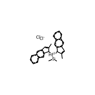 CC1=Cc2cc3ccccc3cc2[CH]1[Hf+2]([CH]1C(C)=Cc2cc3ccccc3cc21)=[Si](C)C.[Cl-].[Cl-]